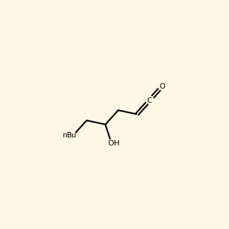 CCCCCC(O)CC=C=O